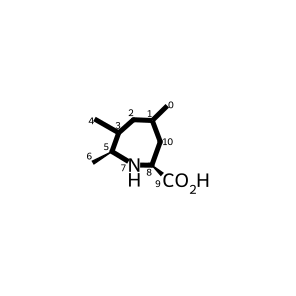 CC1CC(C)[C@H](C)N[C@H](C(=O)O)C1